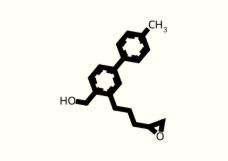 Cc1ccc(-c2ccc(CO)c(CCCC3CO3)c2)cc1